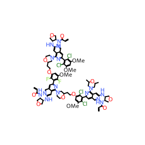 C=CC(=O)N[C@H]1COC[C@H]1Nc1cc2c(N3CCOC(CCOc4cc(OC)c(Cl)c(-c5cc6cnc(N[C@@H]7COC[C@@H]7NC(=O)C=C)cc6c(N6CC(C)OC(C)C6)n5)c4Cl)C3)nc(-c3c(F)c(OC)cc(OCCC4CN(c5nc(-c6c(Cl)c(OC)cc(OC)c6Cl)cc6cnc(N[C@@H]7COC[C@@H]7NC(=O)C=C)cc56)CCO4)c3F)cc2cn1